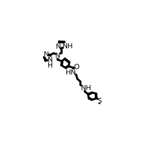 CSc1ccc(CNCCCCNC(=O)c2ccc(CN(Cc3ncc[nH]3)Cc3ncc[nH]3)cc2)cc1